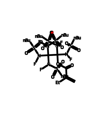 C=C(CC)C(=O)OC(N(F)S(=O)(=O)CCCC)(N(F)S(=O)(=O)CCCC)C(N(F)S(=O)(=O)CCCC)(N(F)S(=O)(=O)CCCC)N(F)S(=O)(=O)CCCC